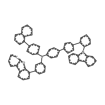 c1cc(-c2cccc3c2oc2ccccc23)cc(N(c2ccc(-c3ccc(-c4ccccc4-n4c5ccccc5c5ccccc54)cc3)cc2)c2ccc(-c3cccc4ccccc34)cc2)c1